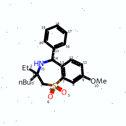 CCCCC1(CC)CS(=O)(=O)c2cc(OC)ccc2C(c2ccccc2)N1